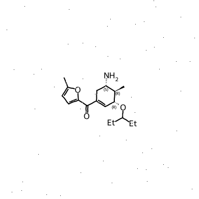 CCC(CC)O[C@@H]1C=C(C(=O)c2ccc(C)o2)C[C@H](N)[C@H]1C